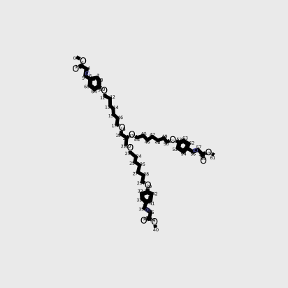 COC(=O)/C=C/c1ccc(OCCCCCCCOCC(COCCCCCCCOc2ccc(/C=C/C(=O)OC)cc2)OCCCCCCCOc2ccc(/C=C/C(=O)OC)cc2)cc1